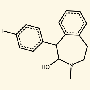 CN1CCc2ccccc2C(c2ccc(I)cc2)C1O